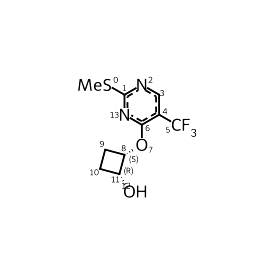 CSc1ncc(C(F)(F)F)c(O[C@H]2CC[C@H]2O)n1